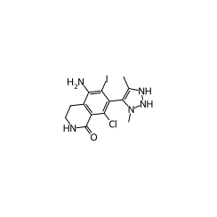 CC1=C(c2c(Cl)c3c(c(N)c2I)CCNC3=O)N(C)NN1